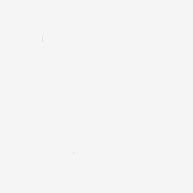 Cc1ccc2c(c1)sc1cc(Cl)cc(-c3ccc4c5ccccc5c5ccccc5c4c3)c12